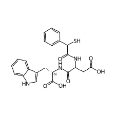 O=C(O)CC(NC(=O)C(S)c1ccccc1)C(=O)N[C@@H](Cc1c[nH]c2ccccc12)C(=O)O